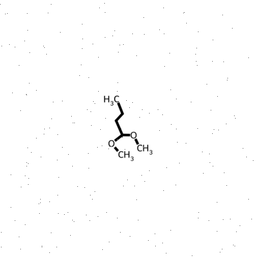 CCC[C](OC)OC